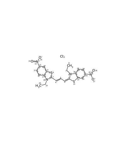 CCN1C(=CC=Cc2sc3cc([N+](=O)[O-])ccc3[n+]2CC)Sc2cc([N+](=O)[O-])ccc21.[Cl-]